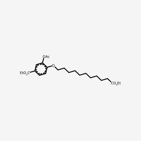 CCOC(=O)CCCCCCCCCCOc1ccc(C(=O)OCC)cc1OC(C)=O